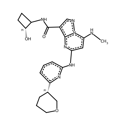 CNc1cc(Nc2cccc([C@H]3CCCOC3)n2)nc2c(C(=O)NC3CC[C@H]3O)cnn12